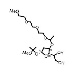 COCCOCCOCCOC(C)O[C@@H]1C[C@@H](OC(C)(C)OC)O[C@@H]1C(O)CO